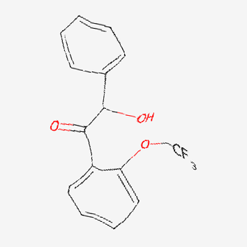 O=C(c1ccccc1OC(F)(F)F)C(O)c1ccccc1